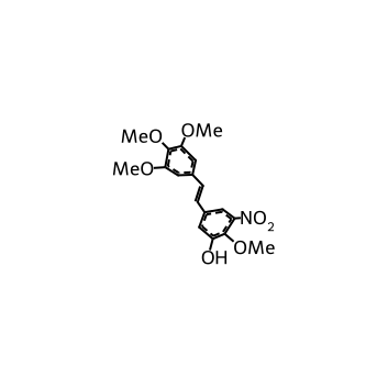 COc1cc(C=Cc2cc(O)c(OC)c([N+](=O)[O-])c2)cc(OC)c1OC